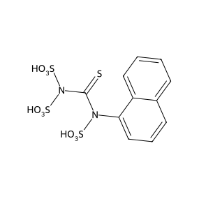 O=S(=O)(O)N(C(=S)N(S(=O)(=O)O)S(=O)(=O)O)c1cccc2ccccc12